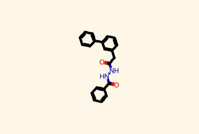 O=C(Cc1cccc(-c2ccccc2)c1)NNC(=O)c1ccccc1